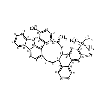 C=C1CC2C(CCc3ccc4c(oc5ncccc54)c3-c3cc(C(C)(C)C)cc[n+]31)c1ccccc1-c1cc(C(C)C)c([Si](C)(C)C)c[n+]12